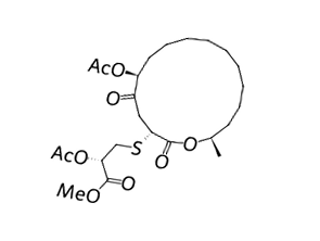 COC(=O)[C@@H](CS[C@@H]1CC(=O)[C@@H](OC(C)=O)CCCCCCCCC[C@@H](C)OC1=O)OC(C)=O